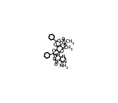 C[C@H]1O[C@@H](Nc2ncnc(N)c2[N+](=O)[O-])[C@H](OC(=O)c2ccccc2)[C@@H](OC(=O)c2ccccc2)[C@H]1OS(C)(=O)=O